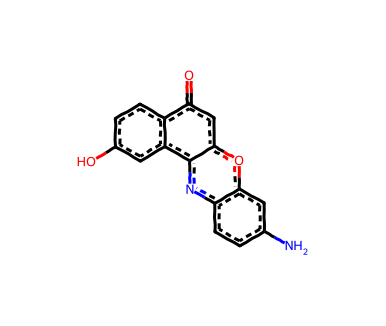 Nc1ccc2nc3c4cc(O)ccc4c(=O)cc-3oc2c1